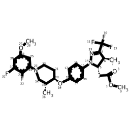 COC(=O)C[C@H]1[C@H](C)C(C(F)(F)F)=NN1c1ccc(O[C@@H]2CCN(c3cc(OC)cc(F)c3F)C[C@H]2C)cc1